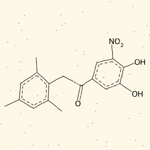 Cc1cc(C)c(CC(=O)c2cc(O)c(O)c([N+](=O)[O-])c2)c(C)c1